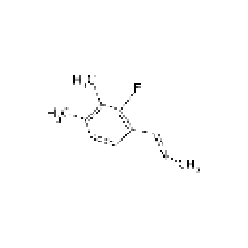 C/N=C/c1ccc(C)c(C)c1F